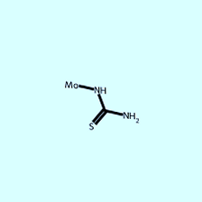 NC(=S)[NH][Mo]